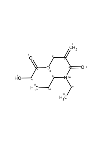 C=C(COC(=O)CO)C(=O)N(CC)CCC